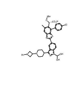 CC(=O)N1CC(N2CCC(c3nn(C(O)O)c4ccc(-c5nc6cc(C)c([C@H](OC(C)(C)C)C(=O)O)c(-c7ccc(Cl)cc7)c6s5)cc34)CC2)C1